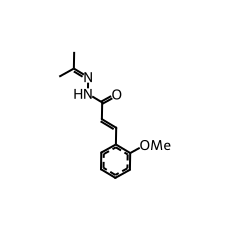 COc1ccccc1/C=C/C(=O)NN=C(C)C